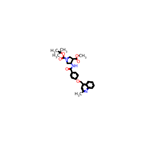 COC(=O)C1CN(C(=O)OC(C)(C)C)CC1NC(=O)c1ccc(OCc2cc(C)nc3ccccc23)cc1